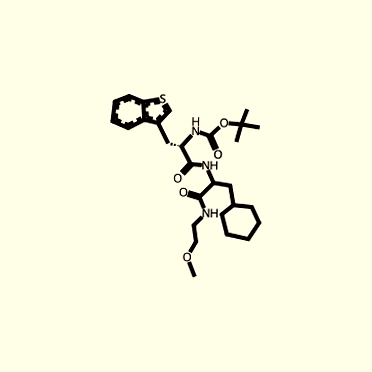 COCCNC(=O)C(CC1CCCCC1)NC(=O)[C@H](Cc1csc2ccccc12)NC(=O)OC(C)(C)C